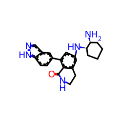 N[C@H]1CCCC[C@H]1Nc1cc2c(c(-c3ccc4[nH]ncc4c3)c1)C(=O)NCC2